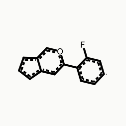 Fc1c[c]ccc1-c1cc2cccc-2co1